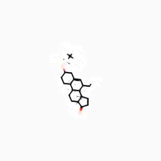 CCC1C=C2CC(O[Si](C)(C)C(C)(C)C)CC[C@]2(C)[C@@H]2CC[C@]3(C)C(=O)CC[C@H]3[C@H]12